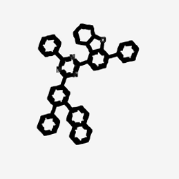 C1=CC2Oc3c(-c4ccccc4)ccc(-c4nc(-c5ccccc5)nc(-c5ccc(-c6ccccc6)c(-c6ccc7ccccc7c6)c5)n4)c3C2C=C1